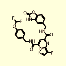 O=C(NCc1ccc2oc(=O)[nH]c2c1)c1cc(C(=O)NCc2ccc(OC(F)F)cc2)n2ncc(F)c2n1